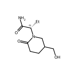 CC[C@@H](C(N)=O)N1CC(CO)CCC1=O